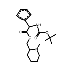 CN1CCCCC1COC(=O)C(NC(=O)OC(C)(C)C)c1ccccc1